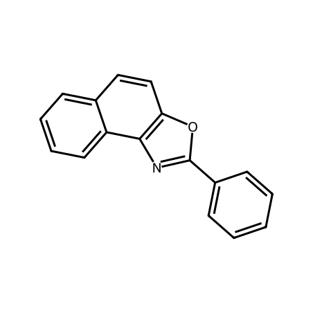 c1ccc(-c2nc3c(ccc4ccccc43)o2)cc1